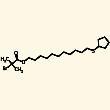 CC(C)(Br)C(=O)OCCCCCCCCCCCSC1CCCC1